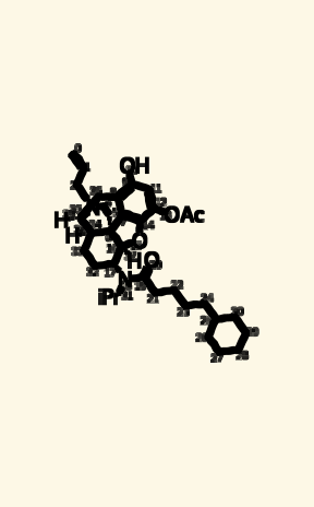 C=CCN1CC[C@]23c4c5c(O)cc(OC(C)=O)c4O[C@H]2[C@@H](N(C(=O)CCCCC2CCCCC2)C(C)C)CC[C@H]3[C@H]1C5